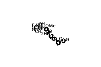 COc1cc(C(=O)NN2CCC3(CC2)CCN(c2cccc(N4CCC(=O)NC4=O)c2)CC3)ccc1Nc1ncc2c(n1)N(C(C)C)CC(F)(F)C(=O)N2C